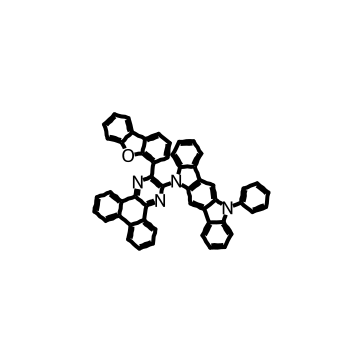 c1ccc(-n2c3ccccc3c3cc4c(cc32)c2ccccc2n4-c2nc3c4ccccc4c4ccccc4c3nc2-c2cccc3c2oc2ccccc23)cc1